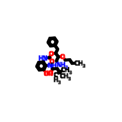 CCCCOC(CN)C(Cc1ccccc1)OC(=O)Nc1cccc(O)c1NC(O)CC(C)(C)C